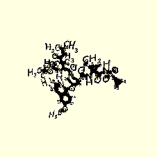 C=C[C@@H]1C[C@]1(NC(=O)[C@@H]1C[C@@H](Oc2nccc3cc(OC)ccc23)CN1C(=O)[C@@H](NC(=O)OC(C)(C)C)C(C)(C)C(=O)C=C(C)C)C(=O)NS(=O)(=O)C1CC1